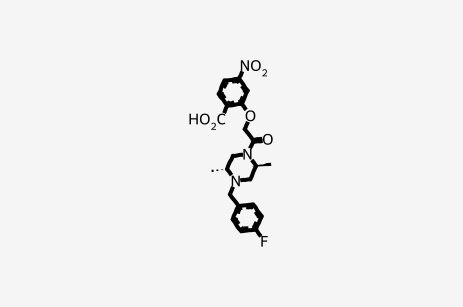 C[C@@H]1CN(C(=O)COc2cc([N+](=O)[O-])ccc2C(=O)O)[C@@H](C)CN1Cc1ccc(F)cc1